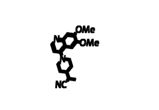 COc1cc2nccc(N3CCC(C(C)C#N)CC3)c2cc1OC